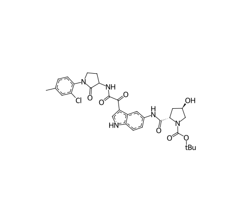 Cc1ccc(N2CCC(NC(=O)C(=O)c3c[nH]c4ccc(NC(=O)[C@@H]5C[C@@H](O)CN5C(=O)OC(C)(C)C)cc34)C2=O)c(Cl)c1